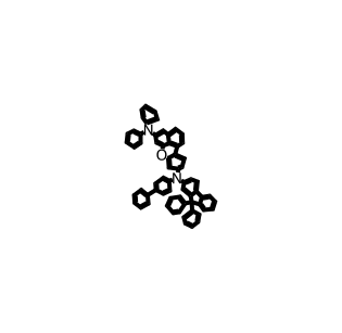 c1ccc(-c2ccc(N(c3ccc4c(c3)Oc3cc(N(c5ccccc5)c5ccccc5)cc5cccc-4c35)c3ccc4c(c3)C(c3ccccc3)(c3ccccc3)c3ccccc3-4)cc2)cc1